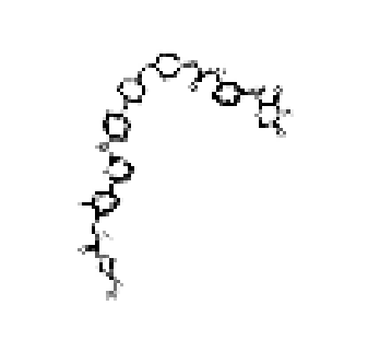 Cc1cc(-c2ccnc(Nc3ccc(N4CCN(CC5CCN(CC(=O)Nc6cccc(NC7CCC(=O)NC7=O)c6)CC5)CC4)cc3)n2)ccc1CNC(=O)N1CC(OC(C)C)C1